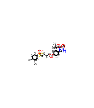 Cc1ccc([S+]([O-])CCCCOc2ccc3c(c2)C(C)(C)OC(=O)N3)cc1C